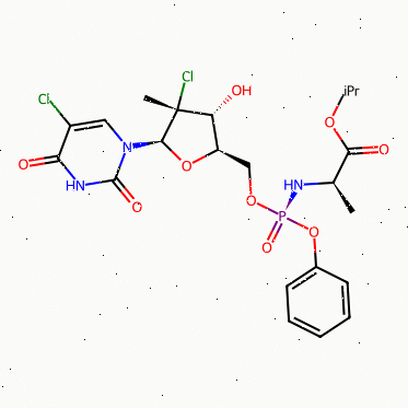 CC(C)OC(=O)[C@@H](C)N[P@@](=O)(OC[C@H]1O[C@@H](n2cc(Cl)c(=O)[nH]c2=O)[C@](C)(Cl)[C@@H]1O)Oc1ccccc1